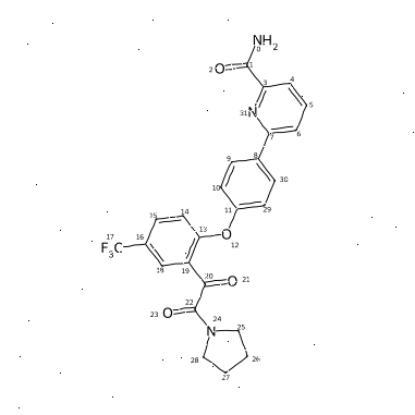 NC(=O)c1cccc(-c2ccc(Oc3ccc(C(F)(F)F)cc3C(=O)C(=O)N3CCCC3)cc2)n1